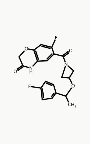 CC(OC1CN(C(=O)c2cc3c(cc2F)OCC(=O)N3)C1)c1ccc(F)cc1